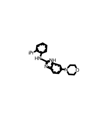 CC(C)c1ccccc1Nc1nc2ccc(N3CCOCC3)cc2[nH]1